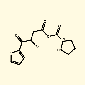 O=C(CC(Br)C(=O)c1ccco1)OC(=O)[C@@H]1CCCN1